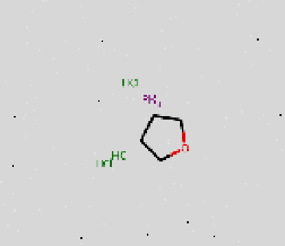 C1CCOC1.Cl.Cl.Cl.P